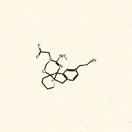 CC(C)CCc1ccc2c(c1)C13N=C(N)N(CC(F)F)COC14CCCC[C@]43C2